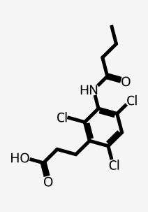 CCCC(=O)Nc1c(Cl)cc(Cl)c(CCC(=O)O)c1Cl